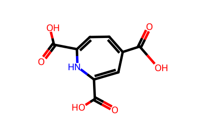 O=C(O)C1=CC=C(C(=O)O)NC(C(=O)O)=C1